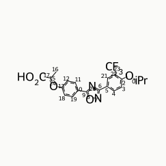 CC(C)Oc1ccc(-c2noc(-c3ccc(OC(C)C(=O)O)cc3)n2)cc1C(F)(F)F